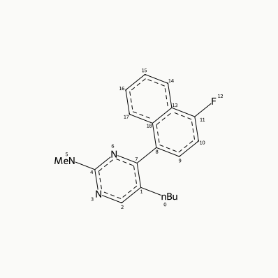 CCCCc1cnc(NC)nc1-c1ccc(F)c2ccccc12